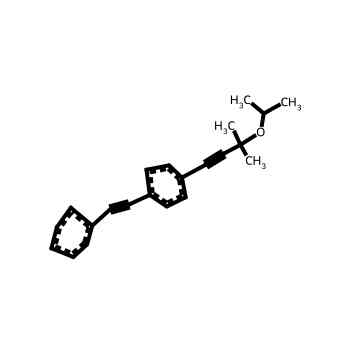 CC(C)OC(C)(C)C#Cc1ccc(C#Cc2ccccc2)cc1